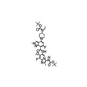 CCN(C(=O)OC(C)(C)C)C1CCN(c2cc(F)c(C(=O)Nc3cn4c(NC(=O)OC(C)(C)C)c(C)nc4c(F)c3OC)c3nn(C)cc23)CC1